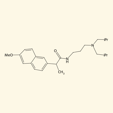 COc1ccc2cc(C(C)C(=O)NCCCN(CC(C)C)CC(C)C)ccc2c1